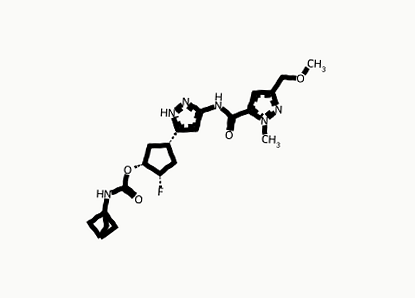 COCc1cc(C(=O)Nc2cc([C@@H]3C[C@H](F)[C@H](OC(=O)NC45CC(C4)C5)C3)[nH]n2)n(C)n1